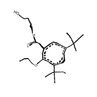 CCOc1c(C(=O)OCCO)cc(C(C)(C)C)cc1C(C)(C)C